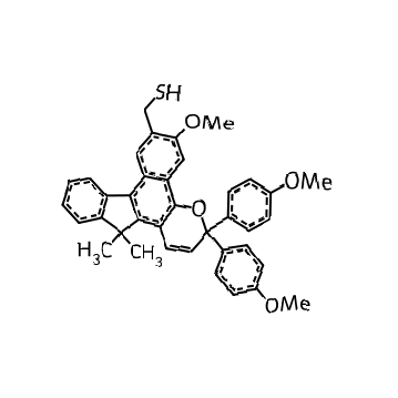 COc1ccc(C2(c3ccc(OC)cc3)C=Cc3c4c(c5cc(CS)c(OC)cc5c3O2)-c2ccccc2C4(C)C)cc1